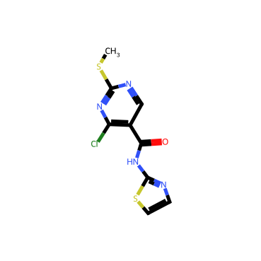 CSc1ncc(C(=O)Nc2nccs2)c(Cl)n1